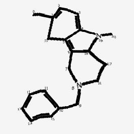 CC1=CC=C2C(=C3CN(Cc4ccccc4)CCC3N2C)C1